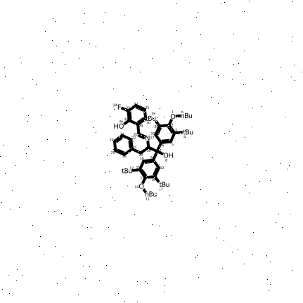 CCCCOc1c(C(C)(C)C)cc(C(O)(c2cc(C(C)(C)C)c(OCCCC)c(C(C)(C)C)c2)C(Cc2ccccc2)N=Cc2cccc(F)c2O)cc1C(C)(C)C